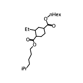 CCCCCCOC(=O)C1CCC(C(=O)OCCCCC(C)C)C(CC)C1